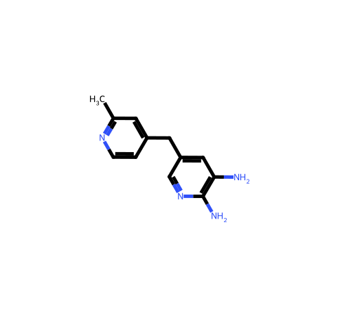 Cc1cc(Cc2cnc(N)c(N)c2)ccn1